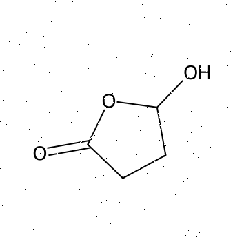 O=C1CCC(O)O1